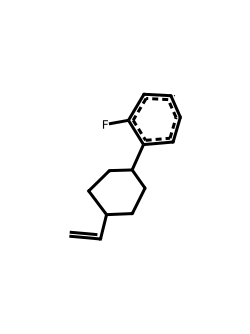 C=CC1CCC(c2cc[c]cc2F)CC1